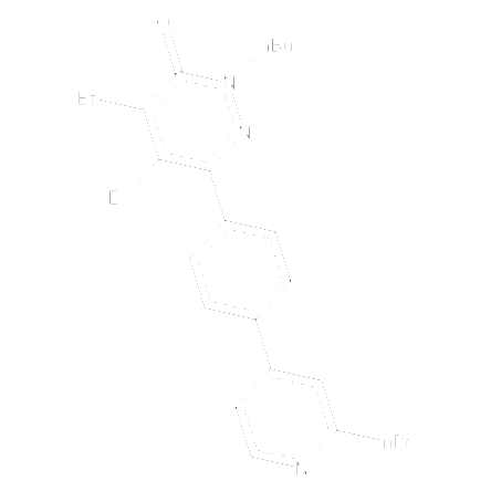 CCCCn1nc(-c2ccc(-c3ccnc(CCC)c3)cc2)c(CC)c(CC)c1=O